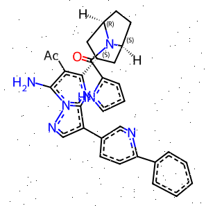 CC(=O)c1c([C@@H]2C[C@H]3CC[C@@H](C2)N3C(=O)c2ccc[nH]2)nc2c(-c3ccc(-c4ccccc4)nc3)cnn2c1N